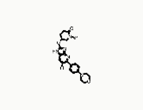 CC(C)N1CC(Oc2nc3nc(-c4ccc(N5CCOCC5)cc4)c(Cl)cc3[nH]2)CCC1=O